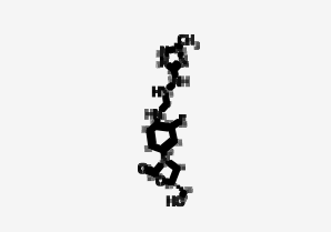 Cn1nnc(NNCNc2ccc(N3C[C@H](CO)OC3=O)cc2F)n1